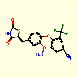 N#Cc1ccc(Oc2ccc(/C=C3\SC(=O)NC3=O)cc2ON)c(C(F)(F)F)c1